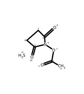 CC(=O)ON1C(=O)CCC1=O.S